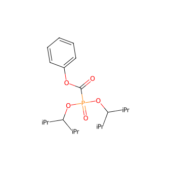 CC(C)C(OP(=O)(OC(C(C)C)C(C)C)C(=O)Oc1ccccc1)C(C)C